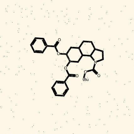 CC(C)(C)OC(=O)N1CCC2CCC3CC(OC(=O)c4ccccc4)C(OC(=O)c4ccccc4)CC3C21